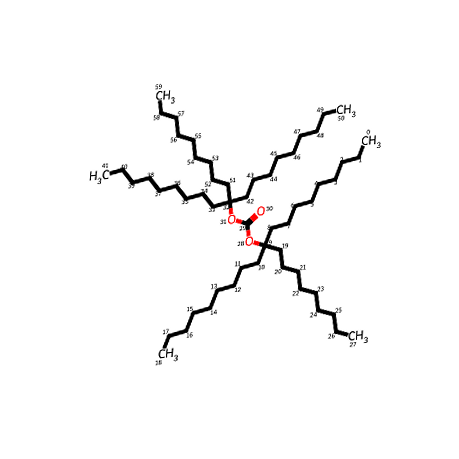 CCCCCCCCCC(CCCCCCCCC)(CCCCCCCCC)OC(=O)OC(CCCCCCCCC)(CCCCCCCCC)CCCCCCCCC